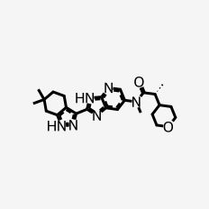 C[C@@H](C(=O)N(C)c1cnc2[nH]c(-c3n[nH]c4c3CCC(C)(C)C4)nc2c1)C1CCOCC1